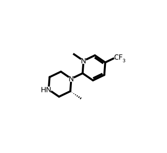 C[C@@H]1CNCCN1C1C=CC(C(F)(F)F)=CN1C